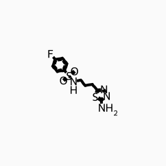 Nc1nnc(CCCNS(=O)(=O)c2ccc(F)cc2)s1